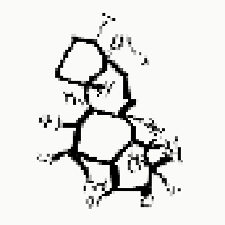 [2H]C1=C2C([2H])(O)C([2H])[C@H]3[C@@H]4CC[C@H](O)[C@@]4(C)CC[C@@H]3[C@@]2(C)C([2H])([2H])C([2H])([2H])C1=O